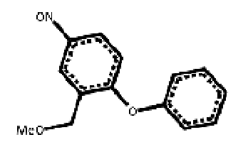 COCc1cc(N=O)ccc1Oc1ccccc1